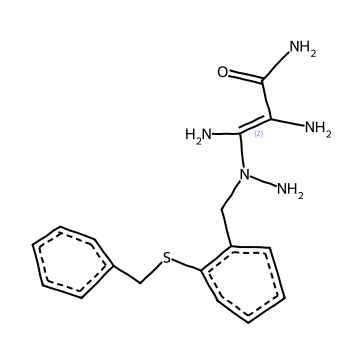 NC(=O)/C(N)=C(\N)N(N)Cc1ccccc1SCc1ccccc1